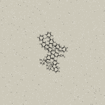 Cc1cc2c3c(c1)N(c1cccc4c1oc1ccccc14)c1cc(N(c4cc(-c5ccccc5)ccc4C)c4cc(-c5ccccc5)ccc4C)ccc1B3c1ccc(C(C)(C)C)cc1N2c1ccc2c(c1)C(C)(C)c1ccccc1-2